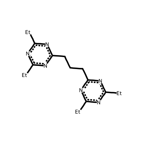 CCc1nc(CC)nc(CCCc2nc(CC)nc(CC)n2)n1